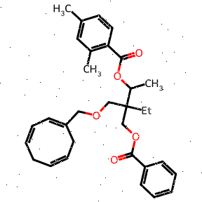 CCC(COC/C1=C/C=C\C/C=C\C1)(COC(=O)c1ccccc1)C(C)OC(=O)c1ccc(C)cc1C